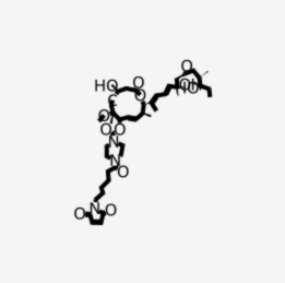 CC[C@H](O)[C@@H](C)[C@H]1O[C@@H]1C[C@@](C)(O)/C=C/C=C(\C)[C@H]1OC(=O)C[C@H](O)CC[C@@](C)(OC)C(OC(=O)N2CCN(C(=O)CCCCCN3C(=O)C=CC3=O)CC2)/C=C/[C@@H]1C